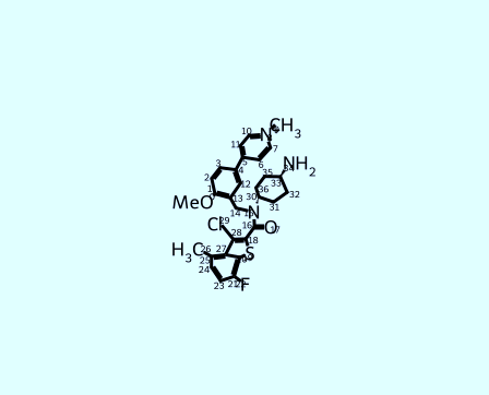 COc1ccc(-c2cc[n+](C)cc2)cc1CN(C(=O)c1sc2c(F)ccc(C)c2c1Cl)[C@H]1CC[C@H](N)CC1